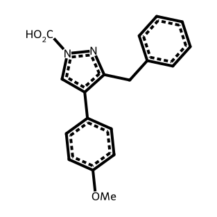 COc1ccc(-c2cn(C(=O)O)nc2Cc2ccccc2)cc1